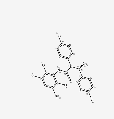 CCc1c(N)cc(Cl)c(CC)c1NC(=O)N(c1ccc(C(C)C)cc1)[C@@H](C)c1ccc(Cl)cc1